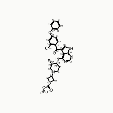 CC(C)(C)OC(=O)N1CC(N2CC[C@@H](Nc3ncnc4[nH]cc(C(=O)c5ccc(Oc6ccccc6)cc5Cl)c34)[C@H](F)C2)C1